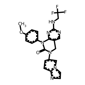 COc1ccc(N2C(=O)N(c3ccc4nccn4c3)Cc3cnc(NCC(F)(F)F)nc32)cc1